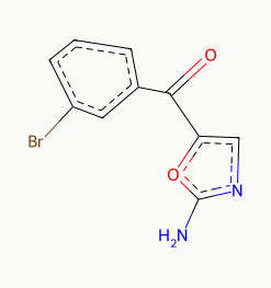 Nc1ncc(C(=O)c2cccc(Br)c2)o1